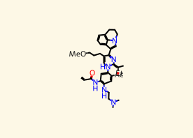 C=CC(=O)Nc1cc(NC(/N=C(\C(=C/C)CCCOC)c2cn3c4c(cccc24)CCC3)=C(/C)CC)c(C(C)=O)cc1NCCN(C)C